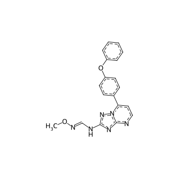 CON=CNc1nc2nccc(-c3ccc(Oc4ccccc4)cc3)n2n1